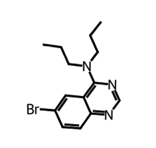 CCCN(CCC)c1ncnc2ccc(Br)cc12